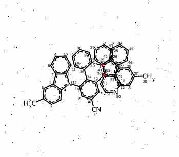 Cc1ccc2c(c1)c1ccccc1n2-c1cc(C#N)cc(-n2c3ccccc3c3cc(C)ccc32)c1-c1ccccc1-n1c2ccccc2c2cnccc21